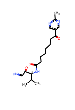 Cc1ncc(C(=O)CCCCCCC(=O)N[C@H](C(=O)C=N)C(C)C)cn1